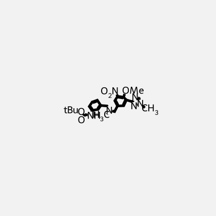 COc1c(-c2ncn(C)n2)cc(CN(C)Cc2cccc(NC(=O)OC(C)(C)C)c2)cc1[N+](=O)[O-]